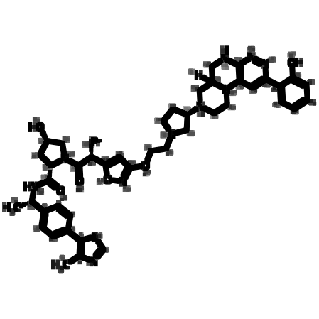 Cc1ncsc1-c1ccc([C@H](C)NC(=O)[C@@H]2C[C@@H](O)CN2C(=O)[C@@H](c2cc(OCCN3CC[C@@H](N4CCN5c6cc(-c7ccccc7O)nnc6NC[C@H]5C4)C3)no2)C(C)C)cc1